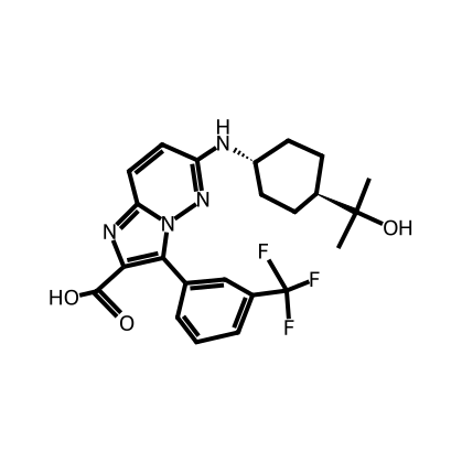 CC(C)(O)[C@H]1CC[C@H](Nc2ccc3nc(C(=O)O)c(-c4cccc(C(F)(F)F)c4)n3n2)CC1